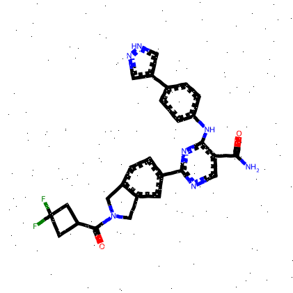 NC(=O)c1cnc(-c2ccc3c(c2)CN(C(=O)C2CC(F)(F)C2)C3)nc1Nc1ccc(-c2cn[nH]c2)cc1